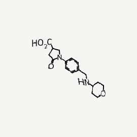 O=C(O)C1CC(=O)N(c2ccc(CNC3CCOCC3)cc2)C1